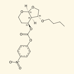 CCCCO[C@H]1CO[C@@H]2OCC[C@H](OC(=O)Oc3ccc([N+](=O)[O-])cc3)[C@@H]21